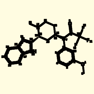 COc1cccc(N(C(=O)C(F)(F)F)[C@@H]2CCN(C)[C@@H](c3nc4ccccc4[nH]3)C2)c1